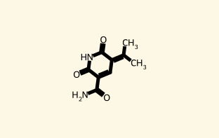 CC(C)=C1C=C(C(N)=O)C(=O)NC1=O